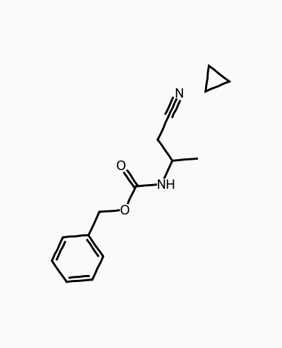 C1CC1.CC(CC#N)NC(=O)OCc1ccccc1